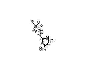 Cc1cc(Br)cc(CO[Si](C)(C)C(C)(C)C)n1